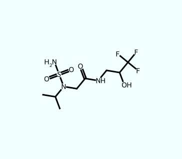 CC(C)N(CC(=O)NCC(O)C(F)(F)F)S(N)(=O)=O